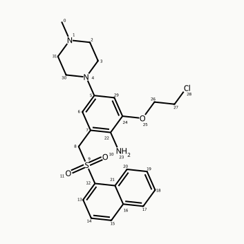 CN1CCN(c2cc(CS(=O)(=O)c3cccc4ccccc34)c(N)c(OCCCl)c2)CC1